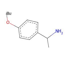 CCC(C)Oc1ccc(C(C)N)cc1